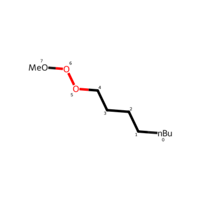 CCCCCCCCOOOC